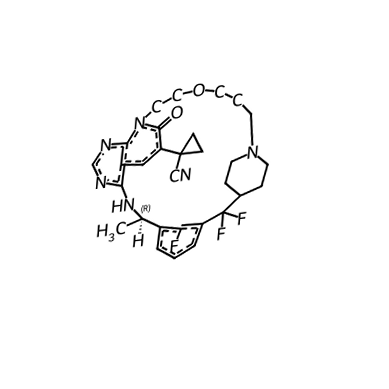 C[C@H]1Nc2ncnc3c2cc(C2(C#N)CC2)c(=O)n3CCOCCCN2CCC(CC2)C(F)(F)c2cccc1c2F